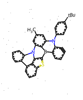 Cc1cc2c3c(c1)N1c4ccccc4-c4cccc5sc(c1c45)B3c1ccc#cc1N2c1ccc(C(C)(C)C)cc1